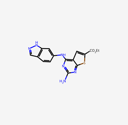 CCOC(=O)c1cc2c(Nc3ccc4cn[nH]c4c3)nc(N)nc2s1